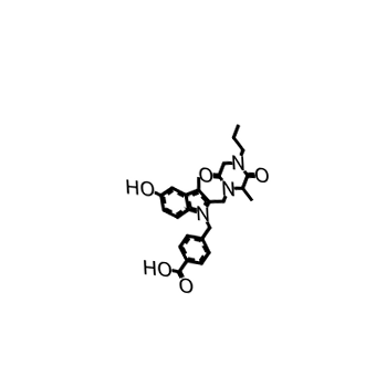 CCCN1CC(=O)N(Cc2c(C)c3cc(O)ccc3n2Cc2ccc(C(=O)O)cc2)C(C)C1=O